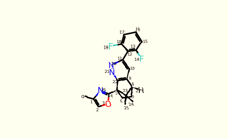 Cc1coc([C@@]23CC[C@@H](c4cc(-c5c(F)cccc5F)nnc42)C3(C)C)n1